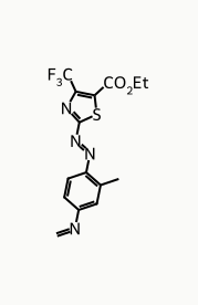 C=Nc1ccc(/N=N/c2nc(C(F)(F)F)c(C(=O)OCC)s2)c(C)c1